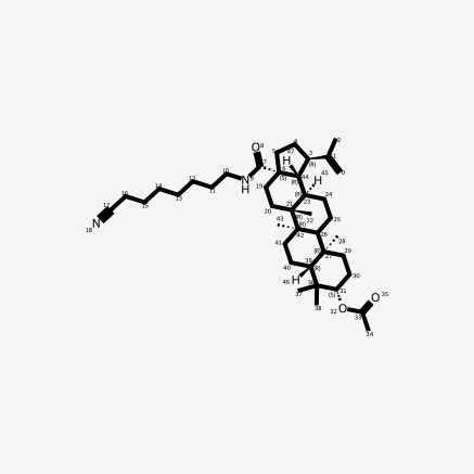 C=C(C)[C@@H]1CC[C@]2(C(=O)NCCCCCCCC#N)CC[C@]3(C)[C@H](CCC4[C@@]5(C)CC[C@H](OC(C)=O)C(C)(C)[C@@H]5CC[C@]43C)[C@@H]12